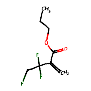 C=C(C(=O)OCCC)C(F)(F)CF